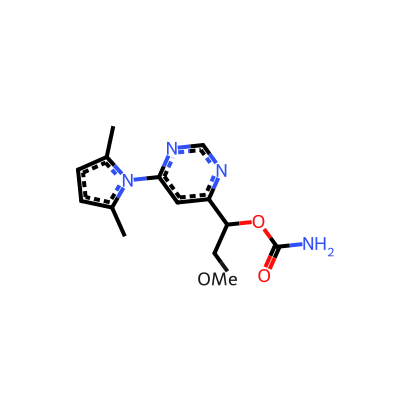 COCC(OC(N)=O)c1cc(-n2c(C)ccc2C)ncn1